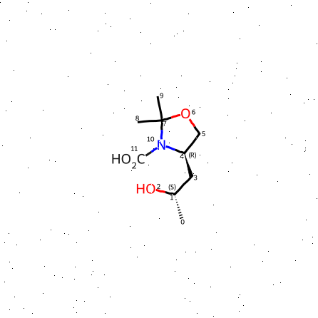 C[C@H](O)C[C@@H]1COC(C)(C)N1C(=O)O